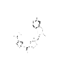 CC(=O)N(C)c1cnn(C(=O)N2CCC(C)(CCN(C)Cc3cc(Cl)ccc3Cl)C2)c1